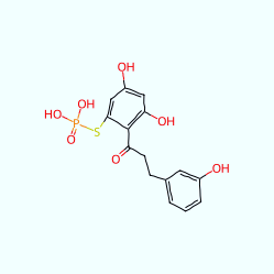 O=C(CCc1cccc(O)c1)c1c(O)cc(O)cc1SP(=O)(O)O